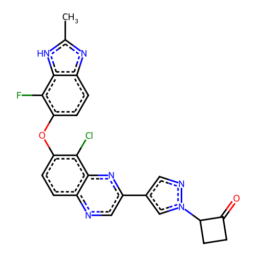 Cc1nc2ccc(Oc3ccc4ncc(-c5cnn(C6CCC6=O)c5)nc4c3Cl)c(F)c2[nH]1